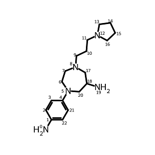 Nc1ccc(N2CCN(CCCN3CCCC3)CC(N)C2)cc1